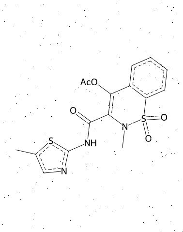 CC(=O)OC1=C(C(=O)Nc2ncc(C)s2)N(C)S(=O)(=O)c2ccccc21